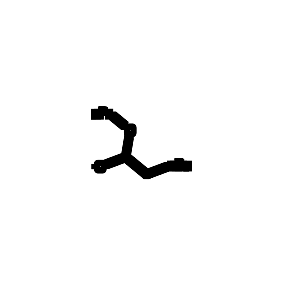 CCCCCC([O])OCCC